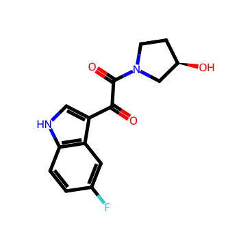 O=C(C(=O)N1CC[C@@H](O)C1)c1c[nH]c2ccc(F)cc12